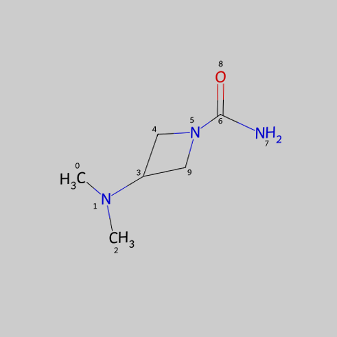 CN(C)C1CN(C(N)=O)C1